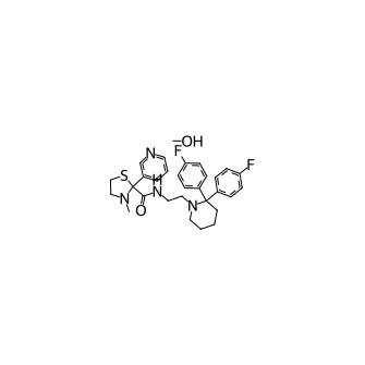 CN1CCSC1(C(=O)NCCN1CCCCC1(c1ccc(F)cc1)c1ccc(F)cc1)c1cccnc1.CO